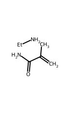 C=C(C)C(N)=O.CCN